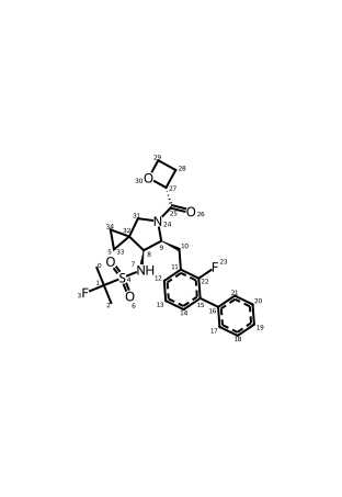 CC(C)(F)S(=O)(=O)N[C@@H]1[C@H](Cc2cccc(-c3ccccc3)c2F)N(C(=O)[C@H]2CCO2)CC12CC2